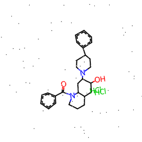 Cl.Cl.O=C(c1ccccc1)N1CCCC2CC(O)C(N3CCC(c4ccccc4)CC3)CC21